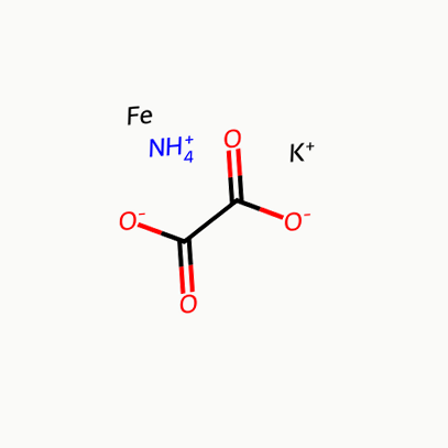 O=C([O-])C(=O)[O-].[Fe].[K+].[NH4+]